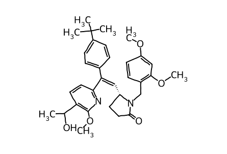 COc1ccc(CN2C(=O)CC[C@@H]2C=C(c2ccc(C(C)(C)C)cc2)c2ccc(C(C)O)c(OC)n2)c(OC)c1